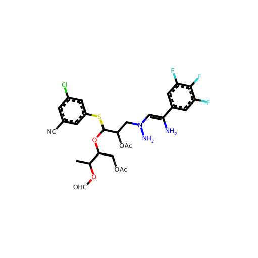 CC(=O)OCC(OC(Sc1cc(Cl)cc(C#N)c1)C(CN(N)/C=C(\N)c1cc(F)c(F)c(F)c1)OC(C)=O)C(C)OC=O